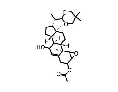 CC(=O)OC1CC2=CC(O)[C@H]3[C@@H]4CC[C@H](C(C)C5OCC(C)(C)CO5)[C@@]4(C)CC[C@@H]3[C@@]2(C)C2OC12